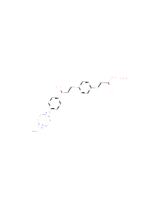 CCN1CCN(c2ccc(C(=O)/C=C/c3ccc(/C=C/C(=O)CO)cc3)cc2)CC1